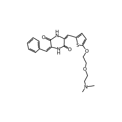 CN(C)CCOCCOc1ccc(C=c2[nH]c(=O)c(=Cc3ccccc3)[nH]c2=O)s1